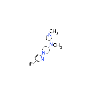 CC(C)c1ccc(N2CCC(N(C)C3CCN(C)C3)CC2)nc1